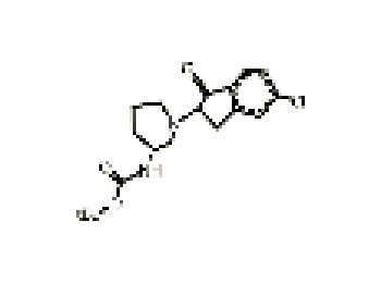 CC(C)(C)OC(=O)N[C@@H]1CCCN(C2Cc3cc(Cl)ccc3C2=O)C1